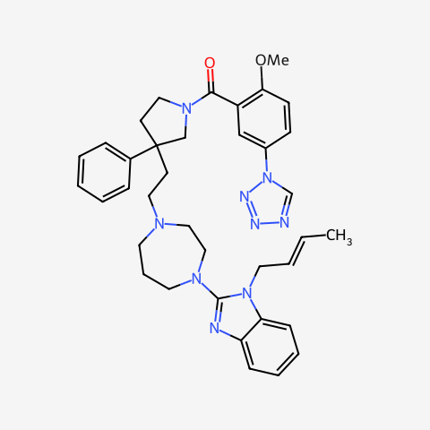 CC=CCn1c(N2CCCN(CCC3(c4ccccc4)CCN(C(=O)c4cc(-n5cnnn5)ccc4OC)C3)CC2)nc2ccccc21